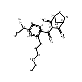 CCOCCCc1nc(C(F)F)ccc1C(=O)C1C(=O)C2CCC(C2)C1=O